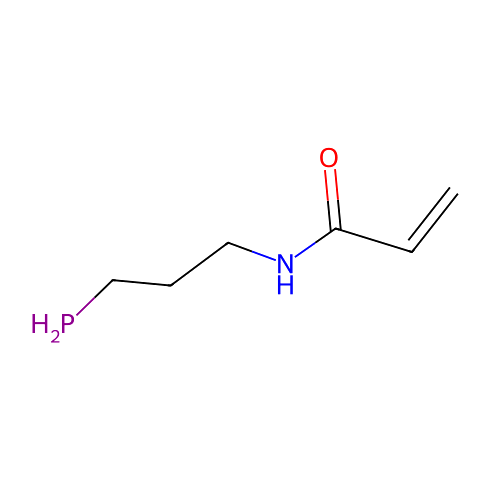 C=CC(=O)NCCCP